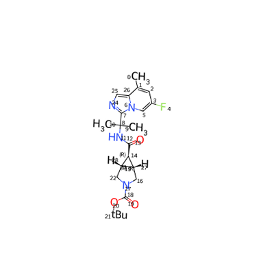 Cc1cc(F)cn2c(C(C)(C)NC(=O)[C@H]3[C@@H]4CN(C(=O)OC(C)(C)C)C[C@@H]43)ncc12